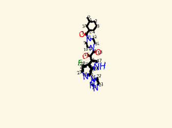 CC1CCCC(C(=O)N2CCN(C(=O)C(=O)c3c[nH]c4c(-n5ccnn5)ncc(F)c34)CC2)C1